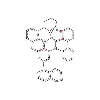 c1ccc(-c2ccccc2N(c2cccc(-c3cccc4ccccc34)c2)c2ccccc2-c2cccc3cccc(C4CCCCC4)c23)cc1